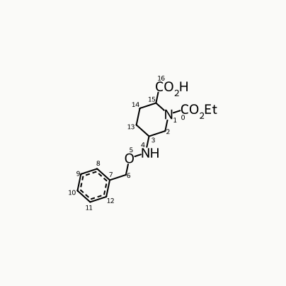 CCOC(=O)N1CC(NOCc2ccccc2)CCC1C(=O)O